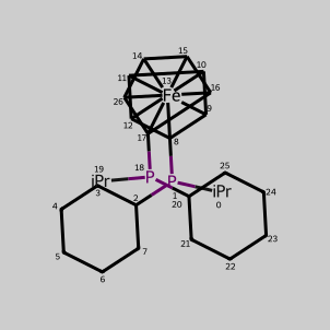 CC(C)P(C1CCCCC1)[C]12[CH]3[CH]4[CH]5[CH]1[Fe]45321678[CH]2[CH]1[CH]6[C]7(P(C(C)C)C1CCCCC1)[CH]28